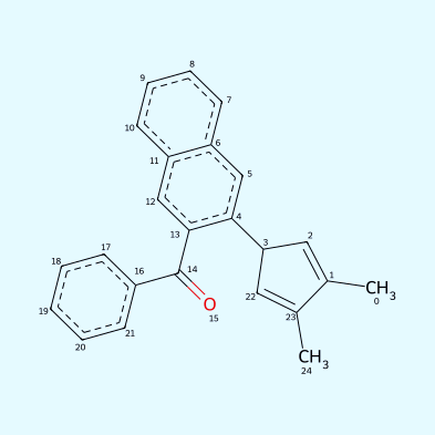 CC1=CC(c2cc3ccccc3cc2C(=O)c2ccccc2)C=C1C